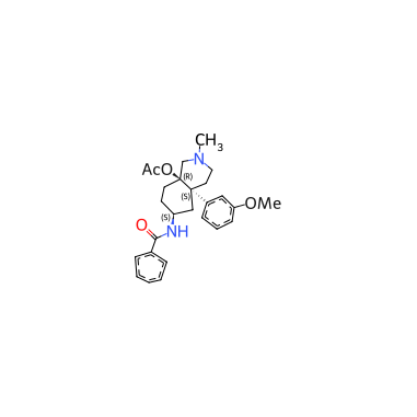 COc1cccc([C@@]23CCN(C)C[C@@]2(OC(C)=O)CC[C@H](NC(=O)c2ccccc2)C3)c1